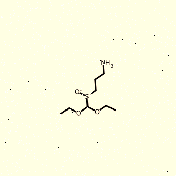 CCOC(OCC)[S+]([O-])CCCN